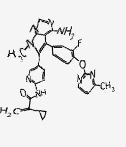 C=C(C(=O)Nc1ccc(-c2c(-c3ccc(Oc4nccc(C)n4)c(F)c3)c3c(N)ncnc3n2C)cn1)C1CC1